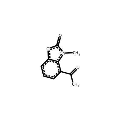 [CH2]C(=O)c1cccc2oc(=O)n(C)c12